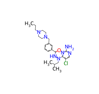 CCCN1CCN(Cc2cccc(C(=O)NN(CC(C)C)c3nc(N)ncc3Cl)c2)CC1